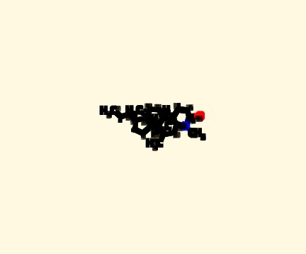 CCCC1CC[C@H]2[C@@H]3C(C)CC4N(C)C(=O)C=C[C@]4(C)[C@@H]3CC[C@]12C